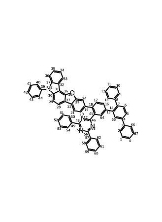 c1ccc(-c2ccc(-c3ccccc3)c(-c3ccc(-c4ccc5c(c4)oc4c5ccc5c4c4ccccc4n5-c4ccccc4)c(-c4nc(-c5ccccc5)nc(-c5ccccc5)n4)c3)c2)cc1